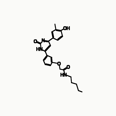 CCCCCNC(=O)COc1cccc(-c2cc(-c3ccc(O)c(C)c3)nc(=O)[nH]2)c1